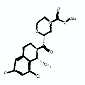 C[C@@H]1c2c(Cl)cc(Cl)cc2CCN1C(=O)[C@H]1CN(C(=O)OC(C)(C)C)CCO1